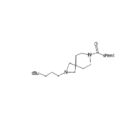 CCCC(C)C(=O)N1CCC2(CC1)CN(CCCC(C)(C)C)C2